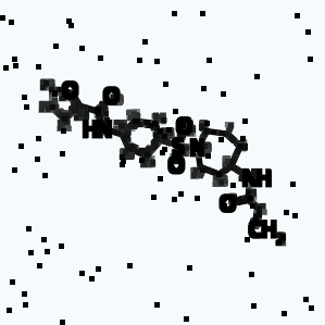 C=CC(=O)NC1CCCN(S(=O)(=O)c2ccc(NC(=O)c3ccco3)cc2)CC1